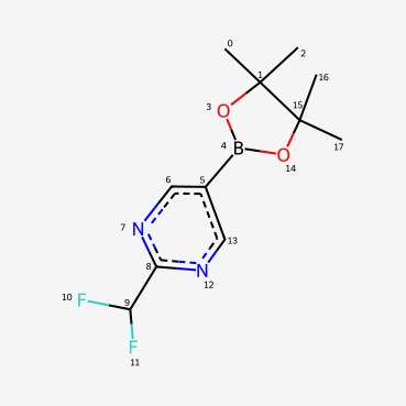 CC1(C)OB(c2cnc(C(F)F)nc2)OC1(C)C